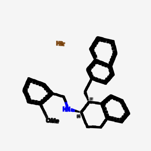 Br.COc1ccccc1CN[C@H]1CCc2ccccc2[C@H]1Cc1ccc2ccccc2c1